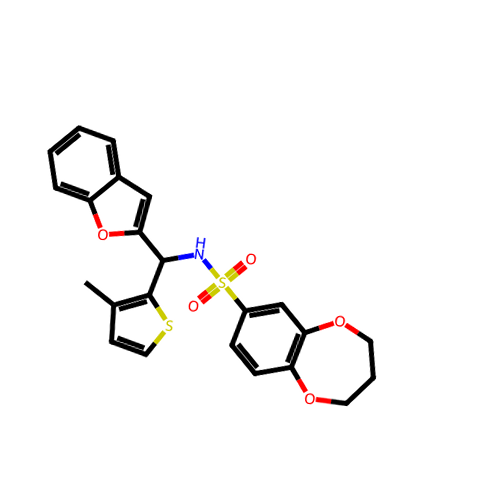 Cc1ccsc1C(NS(=O)(=O)c1ccc2c(c1)OCCCO2)c1cc2ccccc2o1